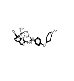 CC(=O)N1CCC(Oc2ccc([C@H](C)Nc3ncc4ccc(=O)n([C@@H](C)C(C)C)c4n3)cc2)CC1